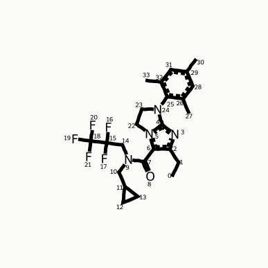 CCc1nc2n(c1C(=O)N(CC1CC1)CC(F)(F)C(F)(F)F)CCN2c1c(C)cc(C)cc1C